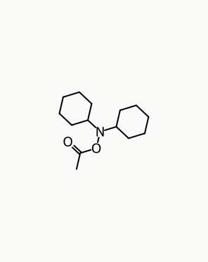 CC(=O)ON(C1CCCCC1)C1CCCCC1